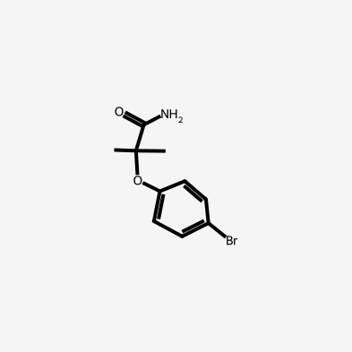 CC(C)(Oc1ccc(Br)cc1)C(N)=O